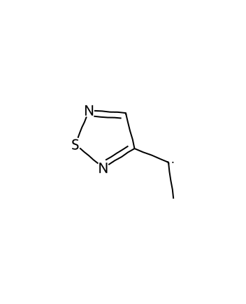 C[CH]c1cnsn1